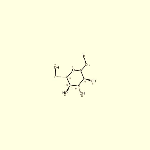 OC[C@@H]1OC(OF)[C@@H](O)[C@H](O)[C@H]1O